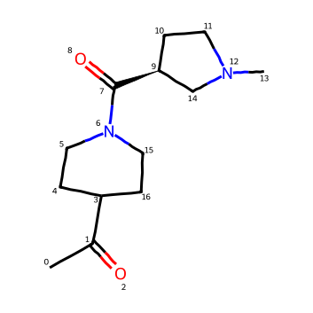 CC(=O)C1CCN(C(=O)[C@H]2CCN(C)C2)CC1